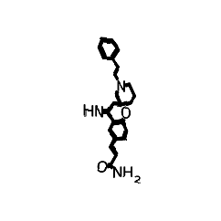 N=C1CC2(CCCN(CCc3ccccc3)C2)Oc2ccc(/C=C/C(N)=O)cc21